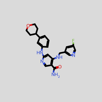 NC(=O)c1cnc(Nc2cccc(C3CCOCC3)c2)cc1NCc1cncc(F)c1